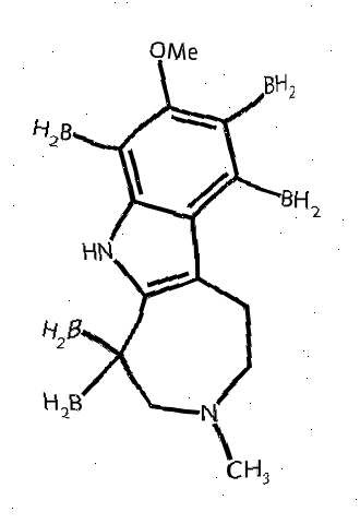 Bc1c(OC)c(B)c2[nH]c3c(c2c1B)CCN(C)CC3(B)B